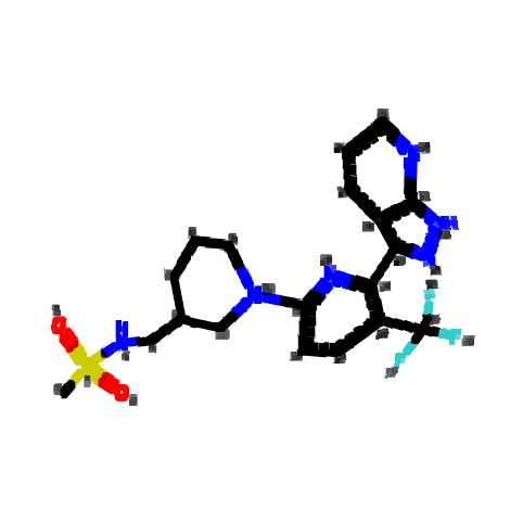 CS(=O)(=O)NCC1CCCN(c2ccc(C(F)(F)F)c(-c3n[nH]c4ncccc34)n2)C1